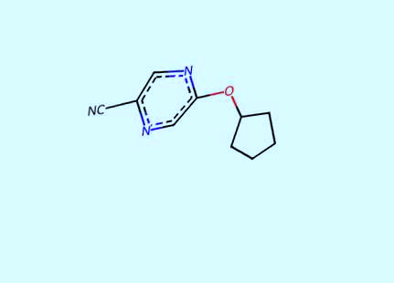 N#Cc1cnc(OC2CCCC2)cn1